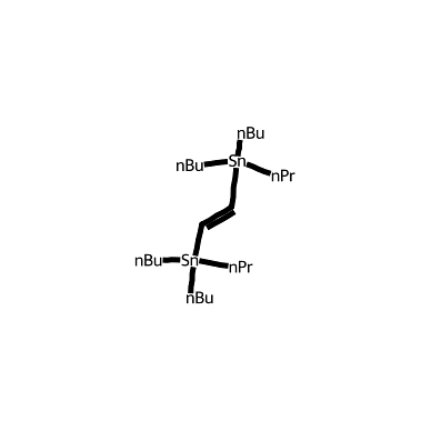 CCC[CH2][Sn](/[CH]=[CH]/[Sn]([CH2]CC)([CH2]CCC)[CH2]CCC)([CH2]CC)[CH2]CCC